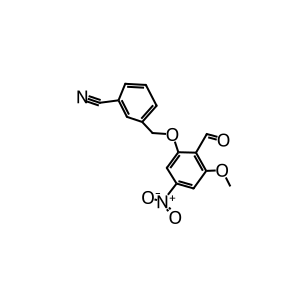 COc1cc([N+](=O)[O-])cc(OCc2cccc(C#N)c2)c1C=O